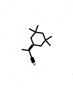 CC(C#N)=C1CC(C)(C)CC(C)(C)C1